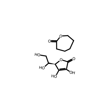 O=C1CCCCCO1.O=C1O[C@H](C(O)CO)C(O)=C1O